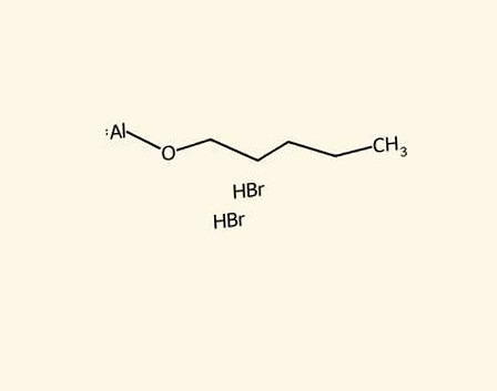 Br.Br.CCCCC[O][Al]